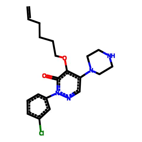 C=CCCCCOc1c(N2CCNCC2)cnn(-c2cccc(Cl)c2)c1=O